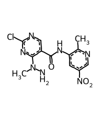 Cc1ncc([N+](=O)[O-])cc1NC(=O)c1cnc(Cl)nc1N(C)N